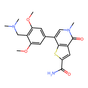 COc1cc(-c2cn(C)c(=O)c3cc(C(N)=O)sc23)cc(OC)c1CN(C)C